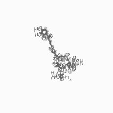 CC(C)(O/N=C(\C(=O)N[C@@H]1C(=O)N(S(=O)(=O)O)[C@@H]1CNC(=O)c1cnc(-c2cnn(CCCNC(=O)c3ccc(O)c(O)c3Cl)c2)s1)c1csc(N)n1)C(=O)O